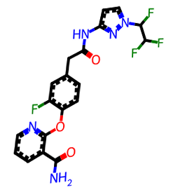 NC(=O)c1cccnc1Oc1ccc(CC(=O)Nc2ccn(C(F)C(F)F)n2)cc1F